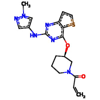 C=CC(=O)N1CCC[C@@H](Oc2nc(Nc3cnn(C)c3)nc3ccsc23)C1